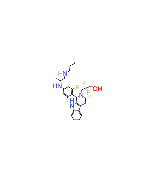 CC(CNCCCF)Nc1cc(F)c([C@@H]2c3[nH]c4ccccc4c3C[C@@H](C)N2CC(F)(F)CO)c(F)c1